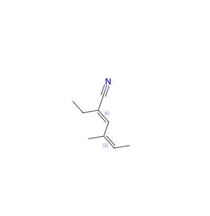 C/C=C(C)\C=C(\C#N)CC